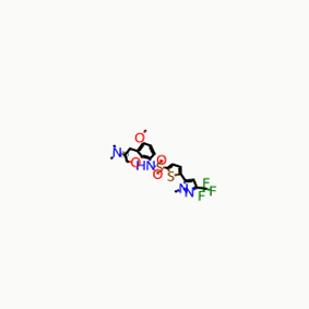 COc1ccc(NS(=O)(=O)c2ccc(-c3cc(C(F)(F)F)nn3C)s2)c2c1C[C@@H](N(C)C)CO2